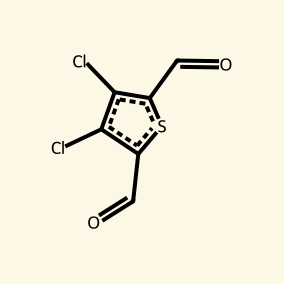 O=Cc1sc(C=O)c(Cl)c1Cl